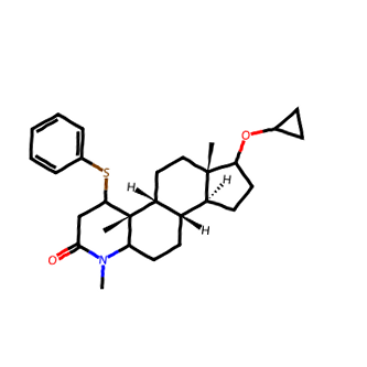 CN1C(=O)CC(Sc2ccccc2)[C@@]2(C)C1CC[C@@H]1[C@H]2CC[C@]2(C)C(OC3CC3)CC[C@@H]12